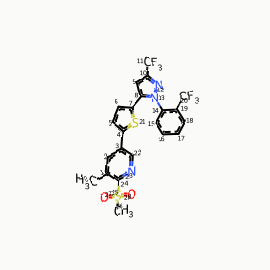 Cc1cc(-c2ccc(-c3cc(C(F)(F)F)nn3-c3ccccc3C(F)(F)F)s2)cnc1S(C)(=O)=O